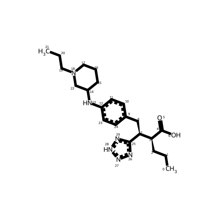 CCC[C@H](C(=O)O)[C@H](Cc1ccc(NC2CCCN(CCC)C2)cc1)c1nn[nH]n1